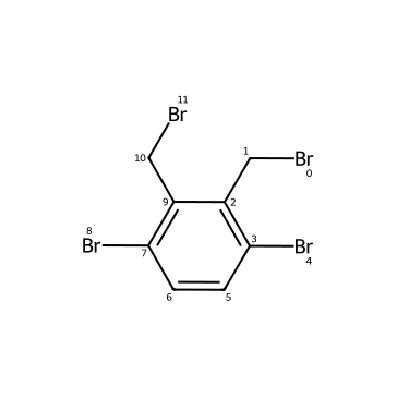 BrCc1c(Br)ccc(Br)c1CBr